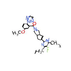 COc1ccc(-n2nccn2)c(C(=O)N2CC3C=C(c4nc(C)c(F)c(C)n4)CC3C2)c1